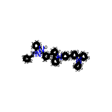 C=N/C(=N\C(=C/Cc1ccccc1)C1=CC=CCC1)c1cccc(-c2cccc3c2c2ccccc2n3-c2ccc(-c3ccc4c5ccccc5n(-c5ccccc5)c4c3)cc2)c1